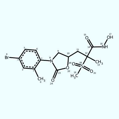 Cc1cc(Br)ccc1N1CC(CC(C)(C(=O)NO)S(C)(=O)=O)OC1=O